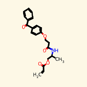 C=CC(=O)OCC(C)NC(=O)CCOc1ccc(C(=O)c2ccccc2)cc1